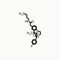 CC1(C)c2cc(CC(=O)NCCC[SiH3])ccc2N2CCOC21/C=C/c1ccc(F)cc1